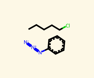 CCCCCCl.[N-]=[N+]=Nc1ccccc1